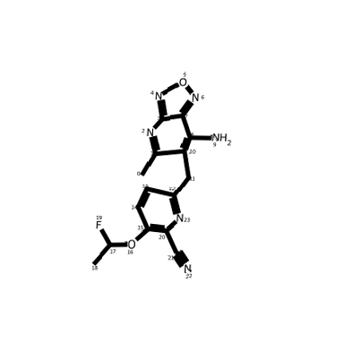 Cc1nc2nonc2c(N)c1Cc1ccc(OC(C)F)c(C#N)n1